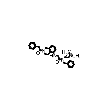 CN(C)CCN(Cc1ccccc1)C(=O)CNc1cccc2c1CCN(C(=O)Cc1ccccc1)C2